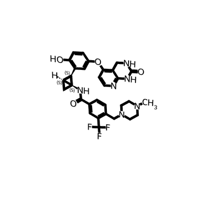 CN1CCN(Cc2ccc(C(=O)N[C@@]34C[C@H]3[C@H]4c3cc(Oc4ccnc5c4CNC(=O)N5)ccc3O)cc2C(F)(F)F)CC1